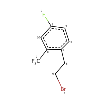 Fc1ccc(CCBr)c(C(F)(F)F)c1